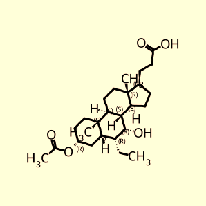 CC[C@H]1[C@@H](O)[C@@H]2[C@H](CC[C@]3(C)[C@@H](CCC(=O)O)CC[C@@H]23)[C@@]2(C)CC[C@@H](OC(C)=O)C[C@@H]12